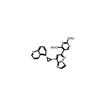 COc1ncc(-c2cc([C@H]3C[C@@H]3c3cccc4ncccc34)c3nccn3n2)c(OC)n1